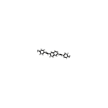 Fc1ccc(C#Cc2ccc3cc(C#Cc4ccc(F)cc4)ccc3c2)cc1